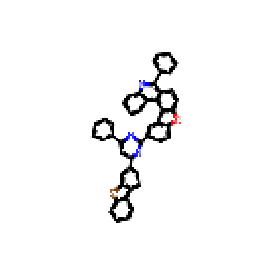 c1ccc(-c2cc(-c3ccc4c(c3)sc3ccccc34)nc(-c3ccc4oc5ccc6c(-c7ccccc7)nc7ccccc7c6c5c4c3)n2)cc1